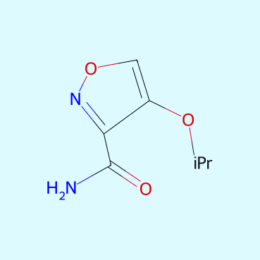 CC(C)Oc1conc1C(N)=O